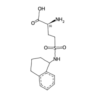 N[C@@H](CCS(=O)(=O)NC1CCCc2ccccc21)C(=O)O